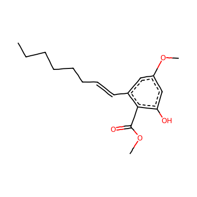 CCCCCCC=Cc1cc(OC)cc(O)c1C(=O)OC